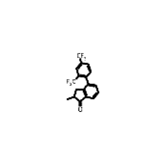 CC1Cc2c(cccc2-c2ccc(C(F)(F)F)cc2C(F)(F)F)C1=O